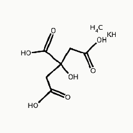 C.O=C(O)CC(O)(CC(=O)O)C(=O)O.[KH]